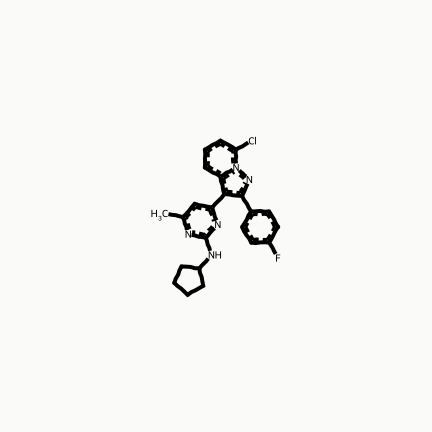 Cc1cc(-c2c(-c3ccc(F)cc3)nn3c(Cl)cccc23)nc(NC2CCCC2)n1